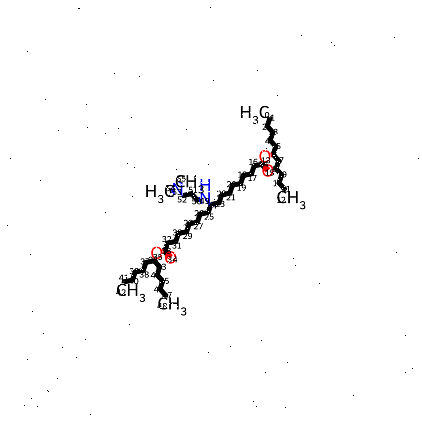 CCCCCCC(CCCCCC)OC(=O)CCCCCCCCC(CCCCCCCCC(=O)OC(CCCCCC)CCCCCC)NCCCN(C)C